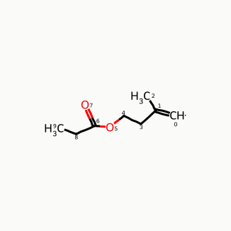 [CH]=C(C)CCOC(=O)CC